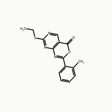 CCSc1ncc2c(=O)oc(-c3ccccc3C)nc2n1